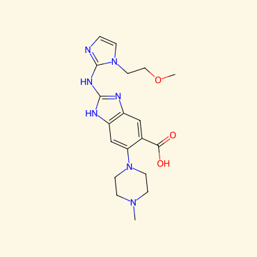 COCCn1ccnc1Nc1nc2cc(C(=O)O)c(N3CCN(C)CC3)cc2[nH]1